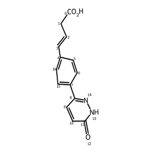 O=C(O)C/C=C/c1ccc(-c2ccc(=O)[nH]n2)cc1